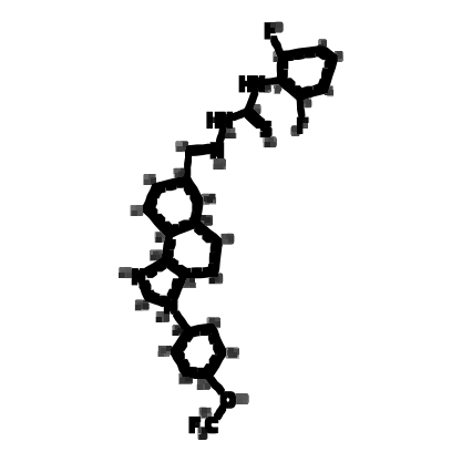 Fc1cccc(F)c1NC(=S)NN=Cc1ccc2c(ccc3c2ncn3-c2ccc(OC(F)(F)F)cc2)c1